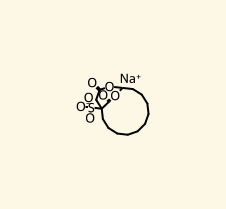 O=C1CC2(S(=O)(=O)[O-])CCCCCCCCCCC(O1)OC2=O.[Na+]